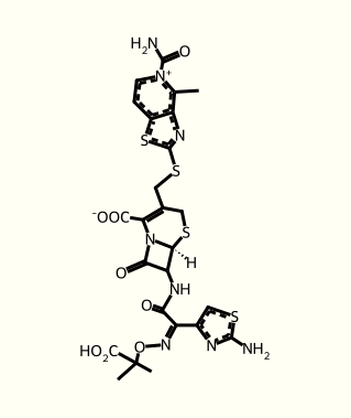 Cc1c2nc(SCC3=C(C(=O)[O-])N4C(=O)C(NC(=O)/C(=N\OC(C)(C)C(=O)O)c5csc(N)n5)[C@@H]4SC3)sc2cc[n+]1C(N)=O